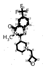 Cn1c([C@@H]2CCCN(CC3COC3)C2)nc2ccc(C(F)(F)F)cc2c1=O